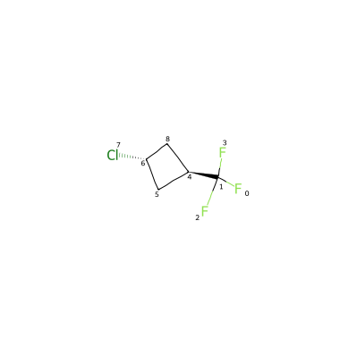 FC(F)(F)[C@H]1C[C@H](Cl)C1